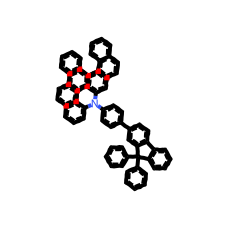 c1ccc(-c2ccccc2-c2cccc(N(c3ccc(-c4ccc5c(c4)C(c4ccccc4)(c4ccccc4)c4ccccc4-5)cc3)c3ccccc3-c3cccc(-c4cccc5ccccc45)c3)c2)cc1